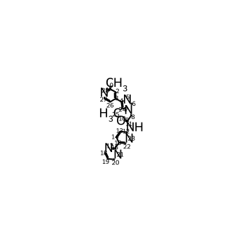 Cc1cc(-c2ncn(CC(=O)Nc3ccc(-c4ncccn4)cn3)c2C)ccn1